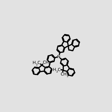 CC1(C)c2ccccc2-c2ccc(N(c3cccc(-c4cccc5c4C(C)(C)c4ccccc4-5)c3)c3ccc4c(c3)C3(CCc5ccccc53)c3ccccc3-4)cc21